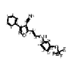 N#Cc1c(-c2ccccc2)noc1C=CNc1cccc(OC(F)(F)F)c1